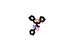 OC(Cc1ccccc1)(Cc1ccccc1)c1coc(C2=CCCC=C2)n1